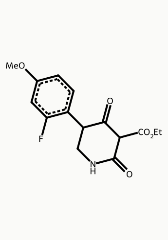 CCOC(=O)C1C(=O)NCC(c2ccc(OC)cc2F)C1=O